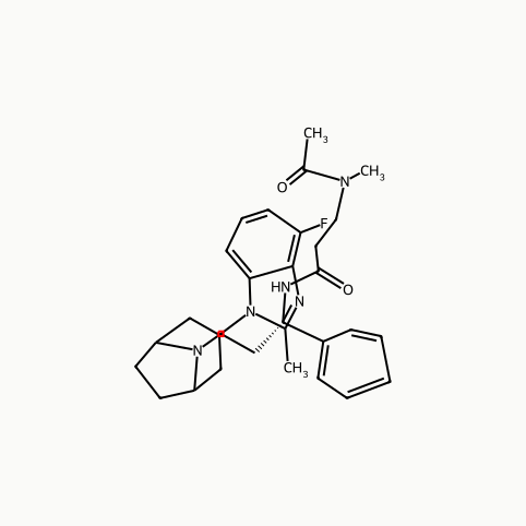 CC(=O)N(C)CCC(=O)N[C@@H](CCN1C2CCC1CC(n1c(C)nc3c(F)cccc31)C2)c1ccccc1